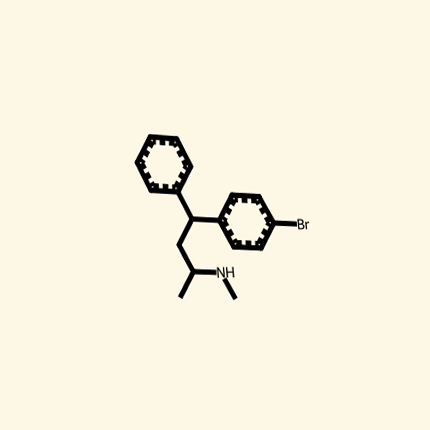 CNC(C)CC(c1ccccc1)c1ccc(Br)cc1